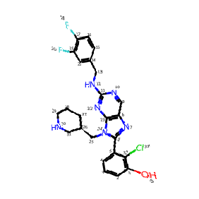 Oc1cccc(-c2nc3cnc(NCc4ccc(F)c(F)c4)nc3n2C[C@@H]2CCCNC2)c1Cl